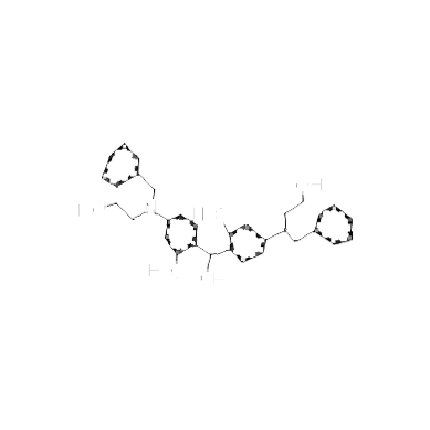 Cc1cc(C(CCO)Cc2ccccc2)ccc1C(C)c1ccc(N(CCO)Cc2ccccc2)cc1C